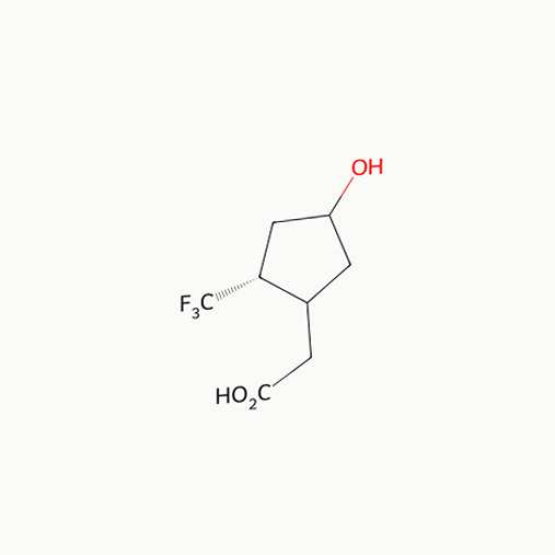 O=C(O)CC1CC(O)C[C@H]1C(F)(F)F